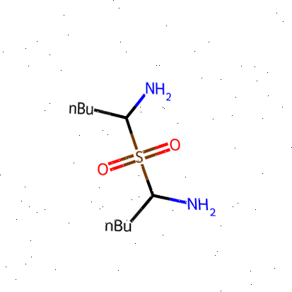 CCCCC(N)S(=O)(=O)C(N)CCCC